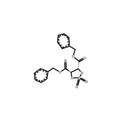 O=C(OCc1ccccc1)[C@@H]1OS(=O)(=O)O[C@H]1C(=O)OCc1ccccc1